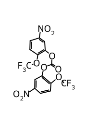 O=C(Oc1cc([N+](=O)[O-])ccc1OC(F)(F)F)Oc1cc([N+](=O)[O-])ccc1OC(F)(F)F